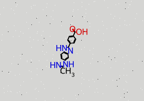 CC(=N)Nc1ccc2[nH]c(-c3ccc(C(=O)O)cc3)nc2c1